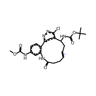 COC(=O)Nc1ccc2c(c1)NC(=O)CC/C=C/CC(NC(=O)OC(C)(C)C)c1cc-2nnc1Cl